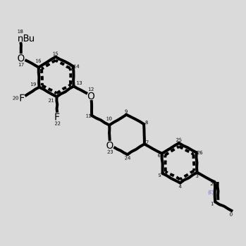 C/C=C/c1ccc(C2CCC(COc3ccc(OCCCC)c(F)c3F)OC2)cc1